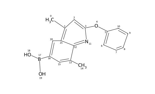 Cc1cc(Oc2ccccc2)nc2c(C)cc(B(O)O)cc12